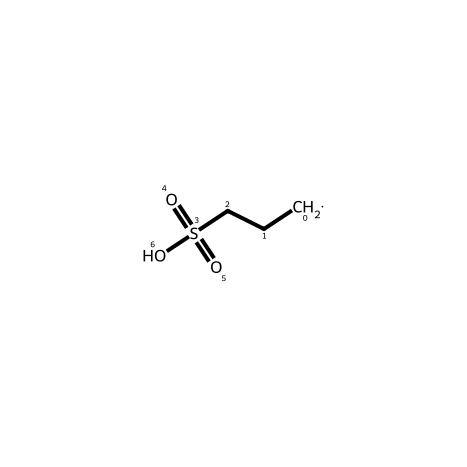 [CH2]CCS(=O)(=O)O